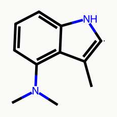 Cc1[c][nH]c2cccc(N(C)C)c12